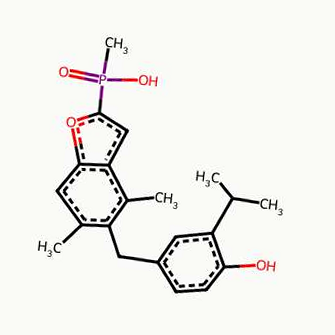 Cc1cc2oc(P(C)(=O)O)cc2c(C)c1Cc1ccc(O)c(C(C)C)c1